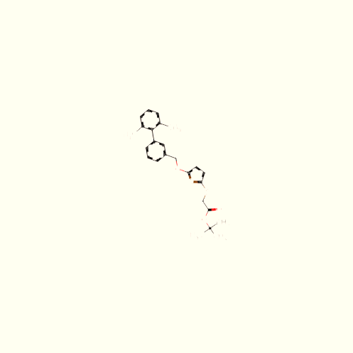 Cc1cccc(C)c1-c1cccc(COc2ccc(SCC(=O)OC(C)(C)C)s2)c1